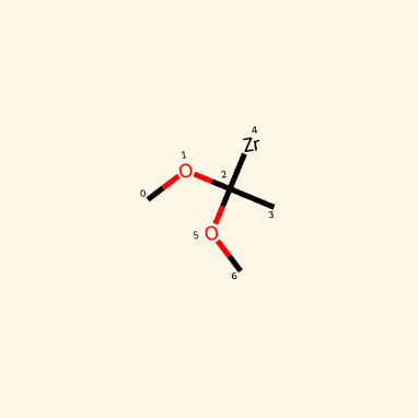 CO[C](C)([Zr])OC